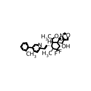 Cc1ccccc1-c1ccc(/C=C/[C@@H]2[C@@H]3[C@@H](C)OC(=O)[C@]3(C(O)c3cocn3)CC(F)(F)[C@H]2C)nc1